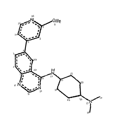 COc1cc(-c2ccc3ncnc(NC4CCC(N(C)C)CC4)c3c2)ccn1